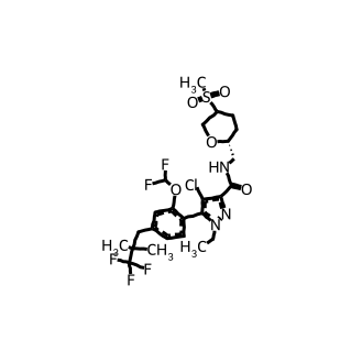 CCn1nc(C(=O)NC[C@H]2CCC(S(C)(=O)=O)CO2)c(Cl)c1-c1ccc(CC(C)(C)C(F)(F)F)cc1OC(F)F